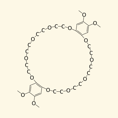 COc1cc2c(cc1OC)OCCOCCOCCOCCOc1cc(OC)c(OC)cc1OCCOCCOCCOCCO2